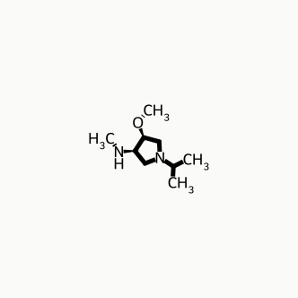 CN[C@@H]1CN(C(C)C)C[C@@H]1OC